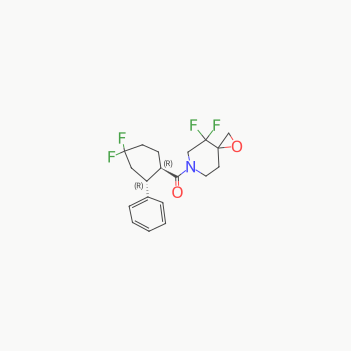 O=C([C@@H]1CCC(F)(F)C[C@H]1c1ccccc1)N1CCC2(CO2)C(F)(F)C1